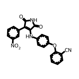 N#Cc1ccccc1Oc1ccc(NC2=C(c3cccc([N+](=O)[O-])c3)C(=O)NC2=O)cc1